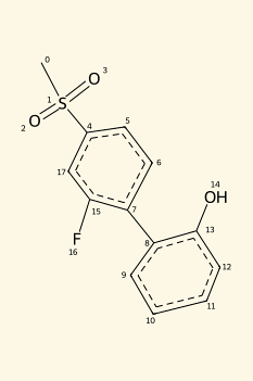 CS(=O)(=O)c1ccc(-c2ccccc2O)c(F)c1